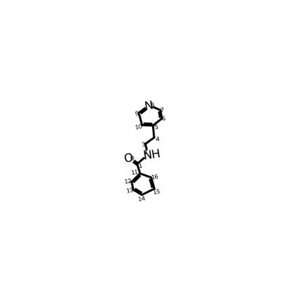 O=C(NCCc1ccncc1)c1ccccc1